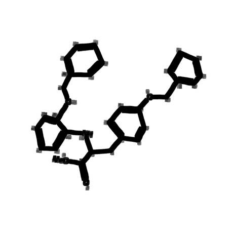 COC(=O)C(Cc1ccc(OCc2ccccc2)cc1)Nc1ccccc1OCc1ccccc1